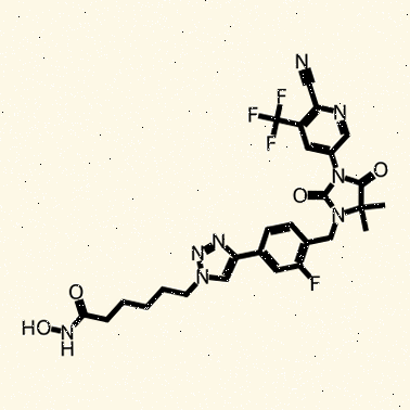 CC1(C)C(=O)N(c2cnc(C#N)c(C(F)(F)F)c2)C(=O)N1Cc1ccc(-c2cn(CCCCCC(=O)NO)nn2)cc1F